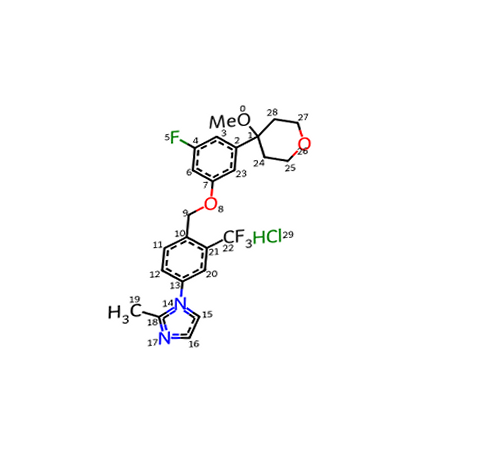 COC1(c2cc(F)cc(OCc3ccc(-n4ccnc4C)cc3C(F)(F)F)c2)CCOCC1.Cl